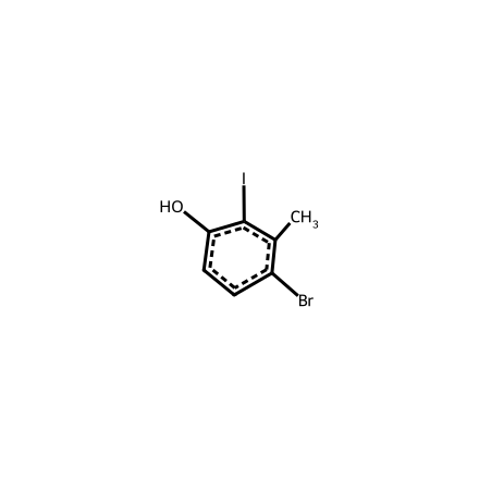 Cc1c(Br)ccc(O)c1I